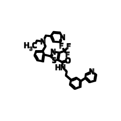 CCN(Cc1ccncc1)Cc1ccccc1-c1nc(C(F)(F)F)c(C(=O)NCCc2cccc(-c3cccnc3)c2)s1